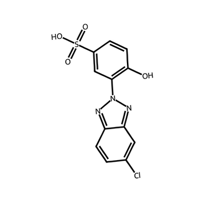 O=S(=O)(O)c1ccc(O)c(-n2nc3ccc(Cl)cc3n2)c1